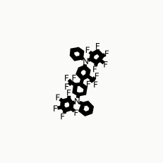 Fc1c(F)c(F)c(N(c2ccccc2)c2ccc(C3=CCC(N(c4ccccc4)c4c(F)c(F)c(F)c(F)c4F)C=C3C(F)(F)F)c(C(F)(F)F)c2)c(F)c1F